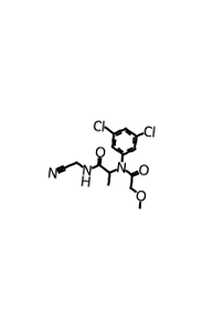 COCC(=O)N(c1cc(Cl)cc(Cl)c1)C(C)C(=O)NCC#N